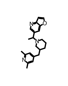 Cc1cc(CC2CCCN(C(C)c3cnc4ccoc4c3)C2)cc(C)n1